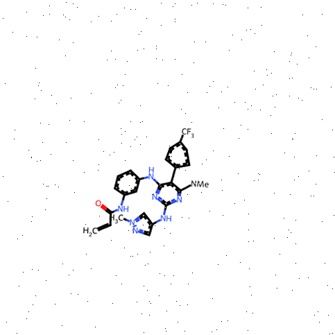 C=CC(=O)Nc1cccc(Nc2nc(Nc3cnn(C)c3)nc(NC)c2-c2ccc(C(F)(F)F)cc2)c1